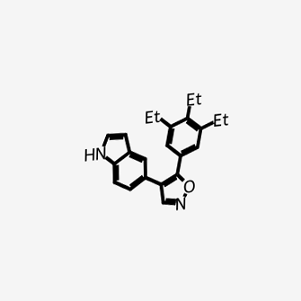 CCc1cc(-c2oncc2-c2ccc3[nH]ccc3c2)cc(CC)c1CC